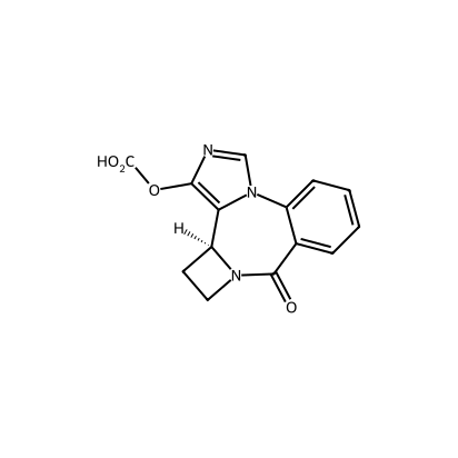 O=C(O)Oc1ncn2c1[C@@H]1CCN1C(=O)c1ccccc1-2